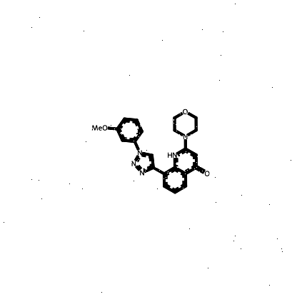 COc1cccc(-n2cc(-c3cccc4c(=O)cc(N5CCOCC5)[nH]c34)nn2)c1